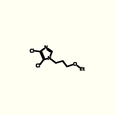 CCOCCCn1cnc(Cl)c1Cl